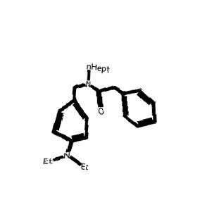 CCCCCCCN(Cc1ccc(N(CC)CC)cc1)C(=O)Cc1ccccc1